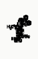 C=CC1=CN2C(=O)C(NC(=O)C(=NOC)c3csc(NC=O)n3)(C(=O)OCC(NC(=O)OC(C)(C)C)C(=O)OC(c3ccccc3)c3ccccc3)[C@@H]2SC1